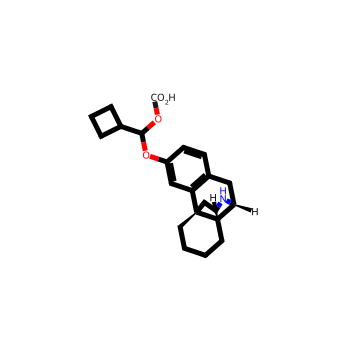 O=C(O)OC(Oc1ccc2c(c1)[C@@]13CCCC[C@H]1[C@@H](C2)NCC3)C1CCC1